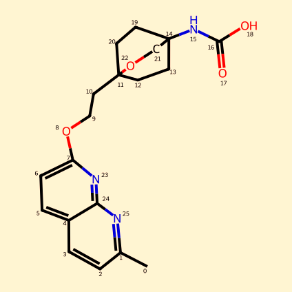 Cc1ccc2ccc(OCCC34CCC(NC(=O)O)(CC3)CO4)nc2n1